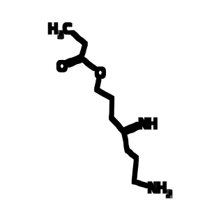 CCC(=O)OCCCC(=N)CCCN